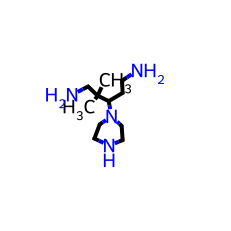 CC(C)(CN)C(CCN)N1CCNCC1